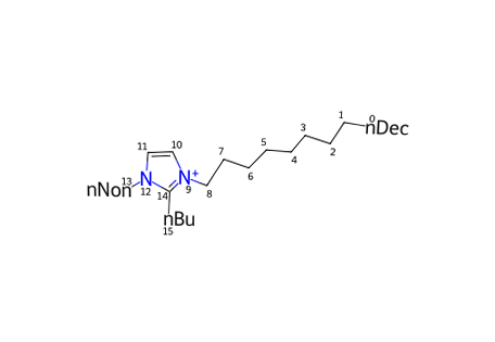 CCCCCCCCCCCCCCCCCC[n+]1ccn(CCCCCCCCC)c1CCCC